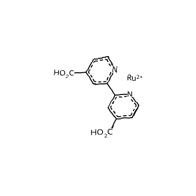 O=C(O)c1ccnc(-c2cc(C(=O)O)ccn2)c1.[Ru+2]